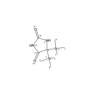 C[Si](C)(C)C1([Si](C)(C)C)NC(=O)NC1=O